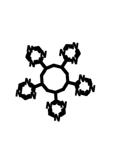 c1ncnc(C2CC(c3ncncn3)CC(c3ncncn3)CC(c3ncncn3)CC(c3ncncn3)C2)n1